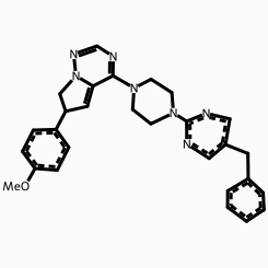 COc1ccc(C2C=C3C(N4CCN(c5ncc(Cc6ccccc6)cn5)CC4)=NC=NN3C2)cc1